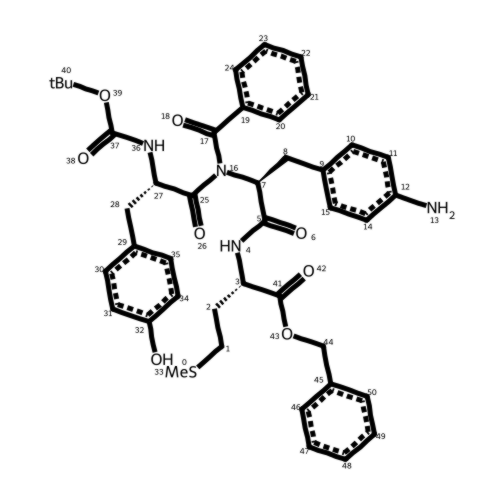 CSCC[C@H](NC(=O)[C@H](Cc1ccc(N)cc1)N(C(=O)c1ccccc1)C(=O)[C@H](Cc1ccc(O)cc1)NC(=O)OC(C)(C)C)C(=O)OCc1ccccc1